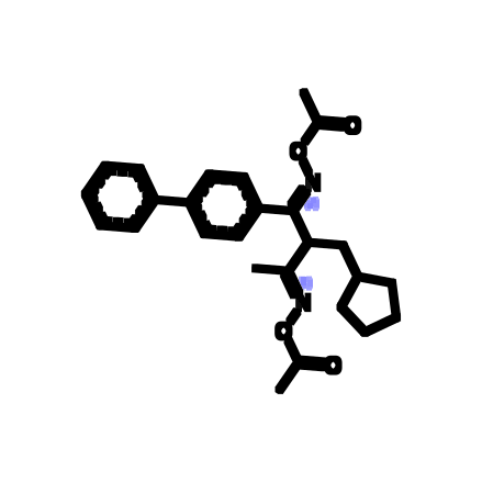 CC(=O)O/N=C(\c1ccc(-c2ccccc2)cc1)C(CC1CCCC1)/C(C)=N/OC(C)=O